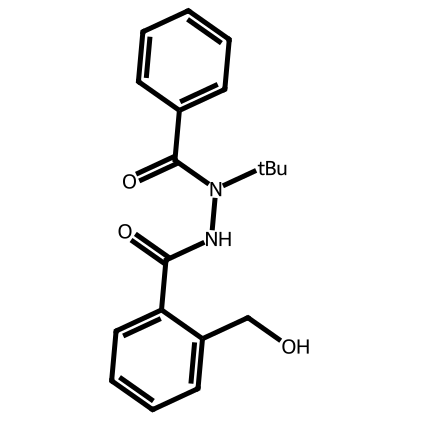 CC(C)(C)N(NC(=O)c1ccccc1CO)C(=O)c1ccccc1